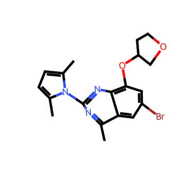 Cc1nc(-n2c(C)ccc2C)nc2c(OC3CCOC3)cc(Br)cc12